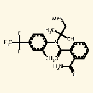 CSCC(C)(C)N(C(=O)c1ccccc1C(N)=O)c1ccc(C(F)(F)C(F)(F)F)cc1C